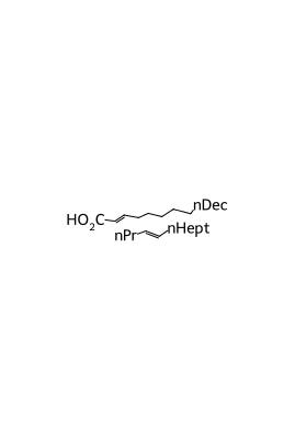 CCC/C=C/CCCCCCC.CCCCCCCCCCCCCCCC=CC(=O)O